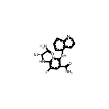 CC[C@@H](Nc1nc(Nc2cccc3ncccc23)c(C(N)=O)cc1F)C(N)=O